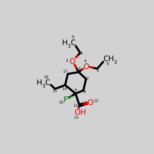 CCOC1(OCC)CCC(F)(C(=O)O)C(CC)C1